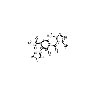 Cc1n[nH]c(O)c1C(=O)c1ccc(S(C)(=O)=O)c(C2=NOCC2)c1Cl